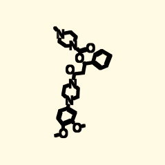 COc1ccc(N2CCN(C(=O)CC(OC(=O)N3CCN(C)CC3)c3ccccc3)CC2)cc1OC